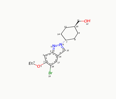 CCOc1cc2nn([C@H]3CC[C@H](CO)CC3)cc2cc1Br